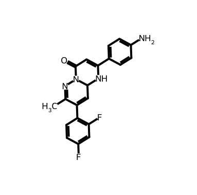 CC1=NN2C(=O)C=C(c3ccc(N)cc3)NC2C=C1c1ccc(F)cc1F